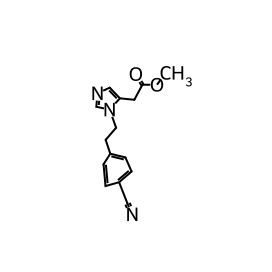 COC(=O)Cc1cncn1CCc1ccc(C#N)cc1